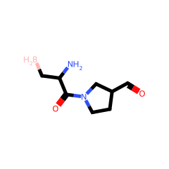 BCC(N)C(=O)N1CCC(C=O)C1